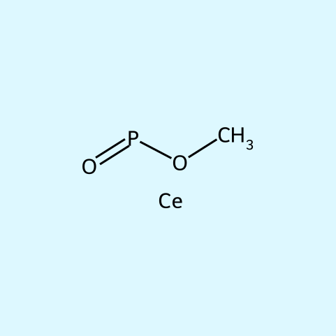 COP=O.[Ce]